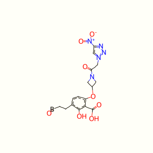 O=BCCc1ccc(OC2CN(C(=O)Cn3cc([N+](=O)[O-])nn3)C2)c(C(=O)O)c1O